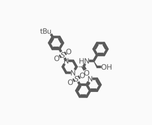 CC(C)(C)c1ccc(S(=O)(=O)N2CCN(S(=O)(=O)c3cccc4cccnc34)[C@@H](C(=O)N[C@H](CO)c3ccccc3)C2)cc1